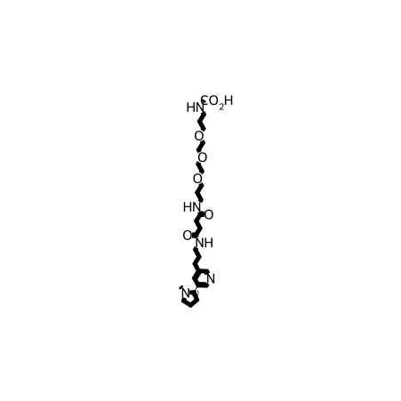 CN1CCC[C@H]1c1cncc(CCCNC(=O)CCC(=O)NCCCOCCOCCOCCCNC(=O)O)c1